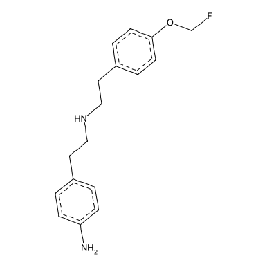 Nc1ccc(CCNCCc2ccc(OCF)cc2)cc1